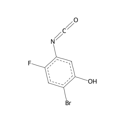 O=C=Nc1cc(O)c(Br)cc1F